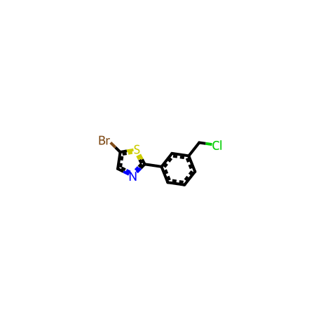 ClCc1cccc(-c2ncc(Br)s2)c1